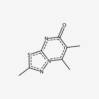 Cc1nn2c(C)c(C)c(=O)nc2s1